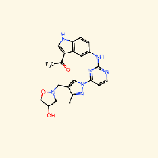 Cc1nn(-c2ccnc(Nc3ccc4[nH]cc(C(=O)C(F)(F)F)c4c3)n2)cc1CN1CC(O)CO1